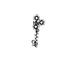 CC(C)OC(=O)CCCCCCOc1ccc2nc(-c3ccccc3)n(-c3ccccc3)c2c1